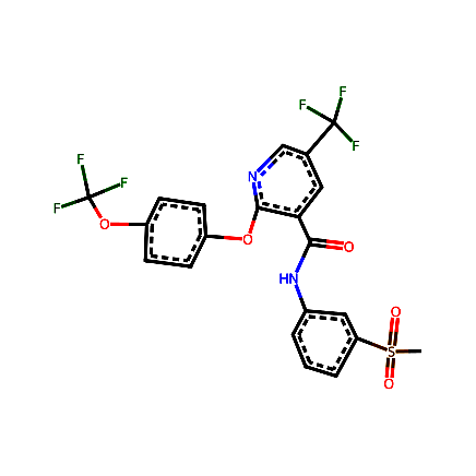 CS(=O)(=O)c1cccc(NC(=O)c2cc(C(F)(F)F)cnc2Oc2ccc(OC(F)(F)F)cc2)c1